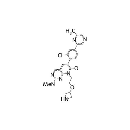 CNc1ncc2cc(-c3ccc(-c4cncc(C)n4)cc3Cl)c(=O)n(CCOC3CNC3)c2n1